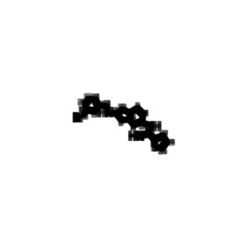 N=C(Nc1ccc2c(c1)CC(NCc1cccc(Br)c1)C2)c1cccs1